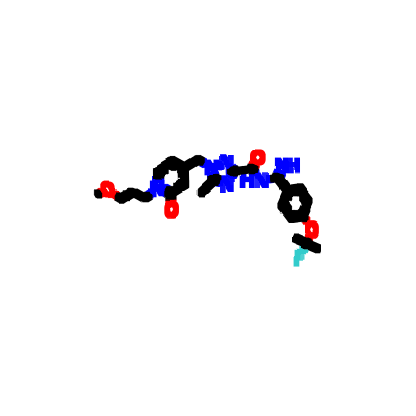 COCCCn1ccc(Cn2nc(C(=O)NC(=N)c3ccc(OC(C)(C)F)cc3)nc2C)cc1=O